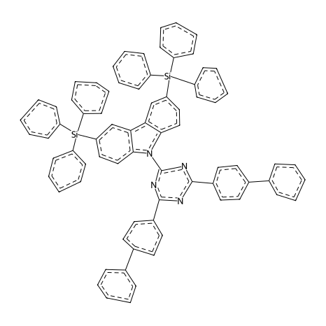 c1ccc(-c2ccc(-c3nc(-c4ccc(-c5ccccc5)cc4)nc(-n4c5ccc([Si](c6ccccc6)(c6ccccc6)c6ccccc6)cc5c5cc([Si](c6ccccc6)(c6ccccc6)c6ccccc6)ccc54)n3)cc2)cc1